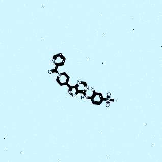 CS(=O)(=O)c1ccc(Nc2ncnc3c(C4CCN(C(=O)c5ccccn5)CC4)noc23)c(F)c1